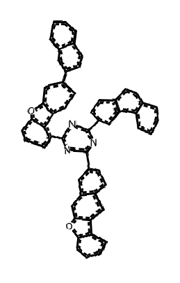 c1ccc2cc(-c3ccc4c(c3)oc3cccc(-c5nc(-c6ccc7cc8c(cc7c6)oc6ccccc68)nc(-c6ccc7ccc8ccccc8c7c6)n5)c34)ccc2c1